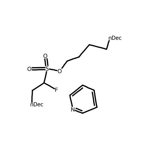 CCCCCCCCCCCCCCOS(=O)(=O)C(F)CCCCCCCCCCC.c1ccncc1